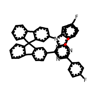 Fc1ccc(-c2nc(-c3ccc(F)cc3)nc(-c3ccc4c(c3)C3(c5ccccc5-4)c4ccccc4-c4ccc(-n5c6ccccc6c6ccccc65)cc43)n2)cc1